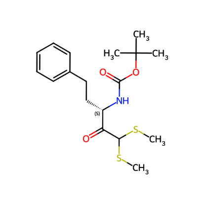 CSC(SC)C(=O)[C@H](CCc1ccccc1)NC(=O)OC(C)(C)C